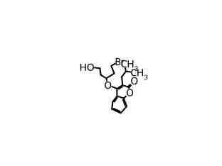 CC(C)Cc1c(OC(CCO)CCBr)c2ccccc2oc1=O